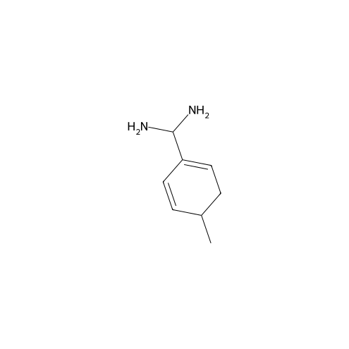 CC1C=CC(C(N)N)=CC1